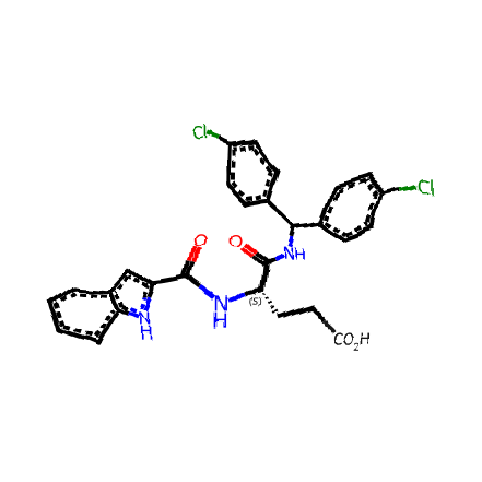 O=C(O)CC[C@H](NC(=O)c1cc2ccccc2[nH]1)C(=O)NC(c1ccc(Cl)cc1)c1ccc(Cl)cc1